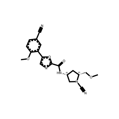 COC[C@H]1C[C@@H](NC(=O)c2ncc(-c3cc(C#N)ccc3OC)o2)CN1C#N